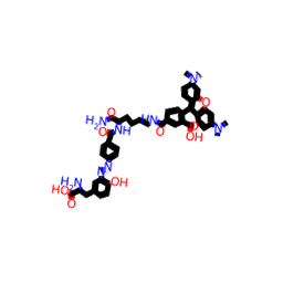 CN(C)c1ccc2c(-c3ccc(C(=O)NCCCCC(NC(=O)c4ccc(/N=N/c5cc(CC(N)C(=O)O)ccc5O)cc4)C(N)=O)cc3C(=O)O)c3ccc(=[N+](C)C)cc-3oc2c1